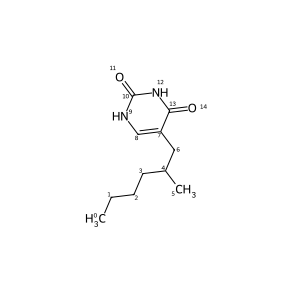 CCCCC(C)Cc1c[nH]c(=O)[nH]c1=O